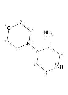 C1CC(N2CCOCC2)CCN1.N